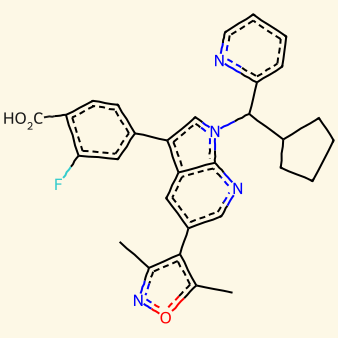 Cc1noc(C)c1-c1cnc2c(c1)c(-c1ccc(C(=O)O)c(F)c1)cn2C(c1ccccn1)C1CCCC1